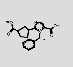 COC(=O)C1CCC(c2ncc(C(=O)O)n2[C@H](C)c2ccccc2)C1